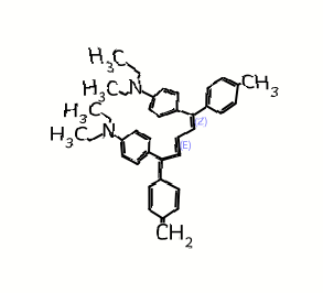 C=c1ccc(=C(/C=C/C=C(/c2ccc(C)cc2)c2ccc(N(CC)CC)cc2)c2ccc(N(CC)CC)cc2)cc1